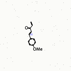 C=CC(=O)/C=C/c1ccc(OC)cc1